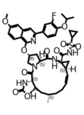 COc1ccc2c(O[C@@H]3C[C@H]4C(=O)N[C@]5(C(=O)NS(=O)(=O)C6CC6)C[C@H]5C=CCC[C@H](C)C[C@@H](C)[C@H](NC(=O)O)C(=O)N4C3)nc(-c3ccc(OC(C)C)c(F)c3)cc2c1